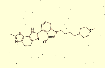 Cc1nc2ccc3nc(-c4cccc5c4c(Cl)cn5CCCCC4CCN(C)CC4)[nH]c3c2s1